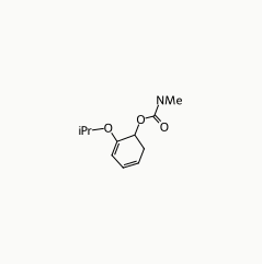 CNC(=O)OC1CC=CC=C1OC(C)C